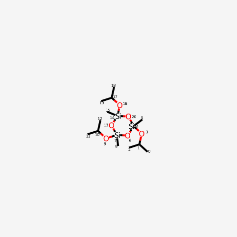 CC(C)O[Si]1(C)O[Si](C)(OC(C)C)O[Si](C)(OC(C)C)O1